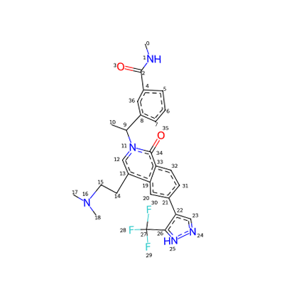 CNC(=O)c1cccc(C(C)n2cc(CCN(C)C)c3cc(-c4cn[nH]c4C(F)(F)F)ccc3c2=O)c1